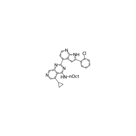 CCCCCCCCNc1nc(-c2ccnc3[nH]c(-c4ccccc4Cl)cc23)nc2cncc(C3CC3)c12